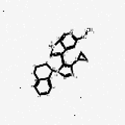 COc1cc2c(-c3c(C4CC4)ncn3C3CCCc4ccccc43)c[nH]c2cn1